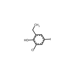 CCc1cc(I)cc(Cl)c1O